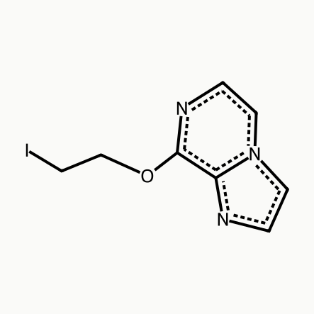 ICCOc1nccn2ccnc12